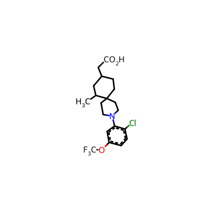 CC1CC(CC(=O)O)CCC12CCN(c1cc(OC(F)(F)F)ccc1Cl)CC2